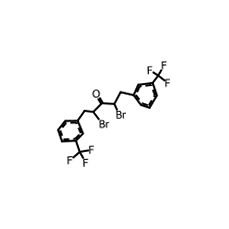 O=C(C(Br)Cc1cccc(C(F)(F)F)c1)C(Br)Cc1cccc(C(F)(F)F)c1